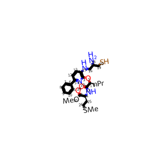 CCC[C@H](Oc1nc(-c2ccccc2)ccc1NCC(N)CS)C(=O)N[C@@H](CCSC)C(=O)OC